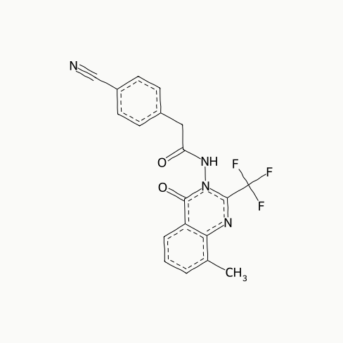 Cc1cccc2c(=O)n(NC(=O)Cc3ccc(C#N)cc3)c(C(F)(F)F)nc12